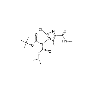 CNC(=O)c1nc(Cl)c(N(C(=O)OC(C)(C)C)C(=O)OC(C)(C)C)n1C